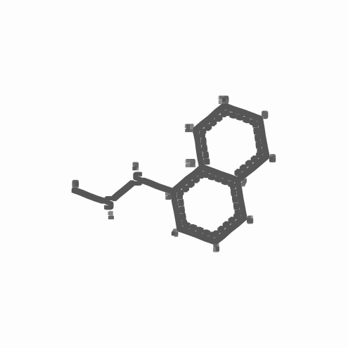 CSSc1cccc2ccccc12